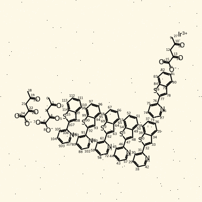 CC(=O)CC(=O)C(=O)[O-].CC(=O)CC(=O)C(=O)[O-].CC(=O)CC(=O)C(=O)[O-].[Ir+3].c1ccc(-c2cc3ccccc3s2)nc1.c1ccc(-c2cc3ccccc3s2)nc1.c1ccc(-c2cc3ccccc3s2)nc1.c1ccc(-c2cc3ccccc3s2)nc1.c1ccc(-c2cc3ccccc3s2)nc1.c1ccc(-c2cc3ccccc3s2)nc1